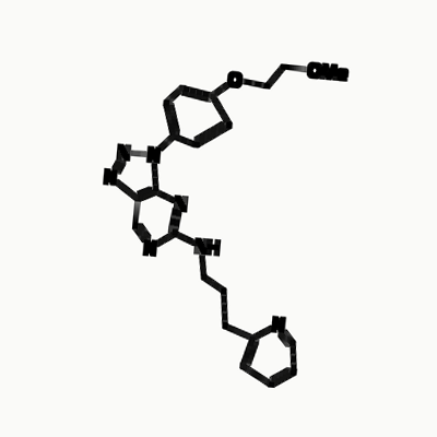 COCCOc1ccc(-n2nnc3cnc(NCCCc4ccccn4)nc32)cc1